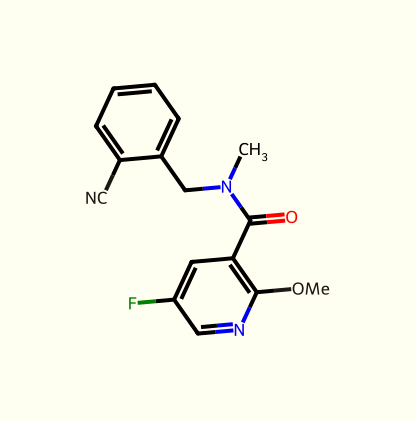 COc1ncc(F)cc1C(=O)N(C)Cc1ccccc1C#N